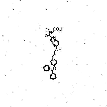 CCN(CC(=O)O)C(=O)c1cn2nc(NCCCN3CCC(OC(c4ccccc4)c4ccccc4)CC3)ccc2n1